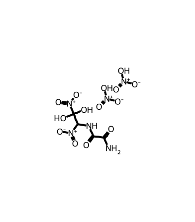 NC(=O)C(=O)NC([N+](=O)[O-])C(O)(O)[N+](=O)[O-].O=[N+]([O-])O.O=[N+]([O-])O